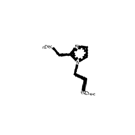 CCCCCCCCCCCCn1ccnc1CCCCCCCCCCC